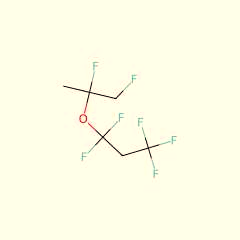 CC(F)(CF)OC(F)(F)CC(F)(F)F